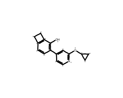 Oc1c(-c2ccnc(OC3CC3)c2)ccc2c1CC2